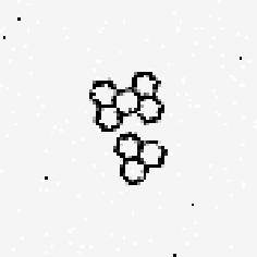 C1=Cc2cccc3cccc(c23)C1.c1cc2cccc3c4cccc5cccc(c(c1)c23)c54